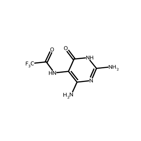 Nc1nc(N)c(NC(=O)C(F)(F)F)c(=O)[nH]1